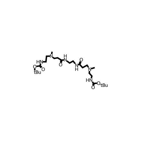 CN(CCNC(=O)OC(C)(C)C)CCC(=O)NCCNC(=O)CCN(C)CCNC(=O)OC(C)(C)C